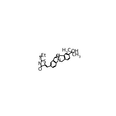 CCSC1=NC(=O)C(=Cc2ccc3c(cnn3Cc3ccc(C(C)(C)O)cc3Cl)c2)S1